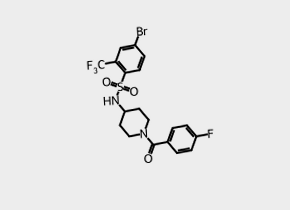 O=C(c1ccc(F)cc1)N1CCC(NS(=O)(=O)c2ccc(Br)cc2C(F)(F)F)CC1